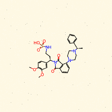 COc1ccc([C@@H](CCNS(=O)(=O)O)N2C(=O)c3cccc(N4CCN([C@H](C)c5ccccc5)CC4)c3C2=O)cc1OC